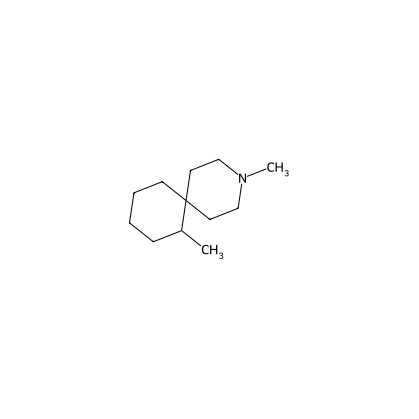 CC1CCCCC12CCN(C)CC2